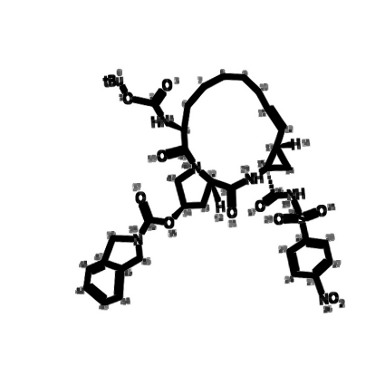 CC(C)(C)OC(=O)N[C@H]1CCCCC/C=C/[C@@H]2C[C@@]2(C(=O)NS(=O)(=O)c2ccc([N+](=O)[O-])cc2)NC(=O)[C@@H]2C[C@@H](OC(=O)N3Cc4ccccc4C3)CN2C1=O